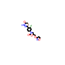 O=C1CSC(c2ccc(N3CC(COc4ccon4)OC3=O)cc2F)=NN1